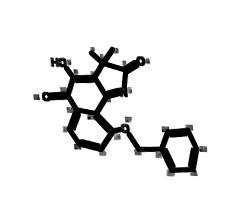 CC1(C)C(=O)N=C2C1=C(O)C(=O)c1cccc(OCc3ccccc3)c12